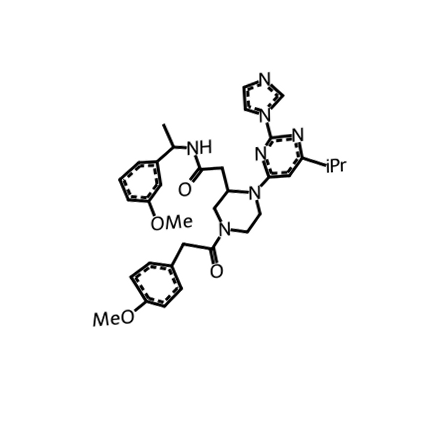 COc1ccc(CC(=O)N2CCN(c3cc(C(C)C)nc(-n4ccnc4)n3)C(CC(=O)NC(C)c3cccc(OC)c3)C2)cc1